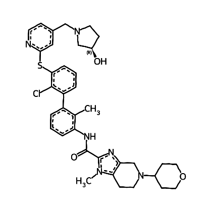 Cc1c(NC(=O)c2nc3c(n2C)CCN(C2CCOCC2)C3)cccc1-c1cccc(Sc2cc(CN3CC[C@@H](O)C3)ccn2)c1Cl